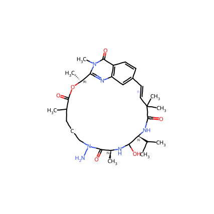 CC1CCCN(N)C(=O)[C@H](C)NC(O)[C@H](C(C)C)NC(=O)C(C)(C)/C=C/c2ccc3c(=O)n(C)c(nc3c2)[C@@H](C)OC1=O